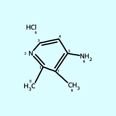 Cc1nccc(N)c1C.Cl